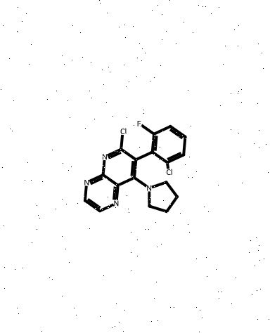 Fc1cccc(Cl)c1-c1c(Cl)nc2nccnc2c1N1CCCC1